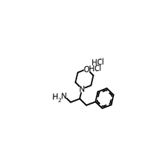 Cl.Cl.NCC(Cc1ccccc1)N1CCOCC1